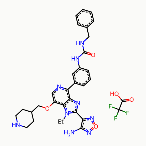 CCn1c(-c2nonc2N)nc2c(-c3cccc(NC(=O)NCc4ccccc4)c3)ncc(OCC3CCNCC3)c21.O=C(O)C(F)(F)F